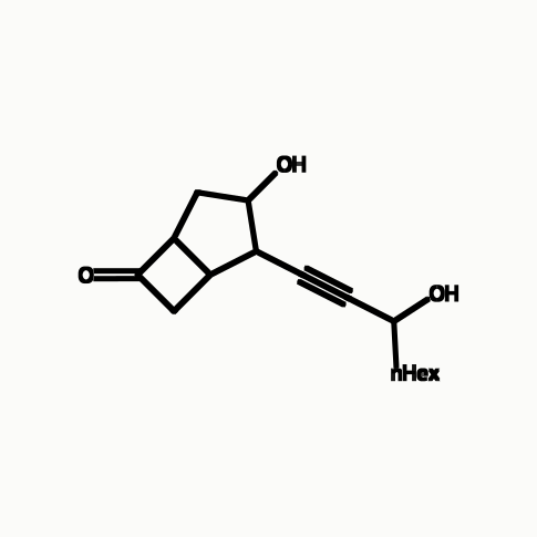 CCCCCCC(O)C#CC1C(O)CC2C(=O)CC21